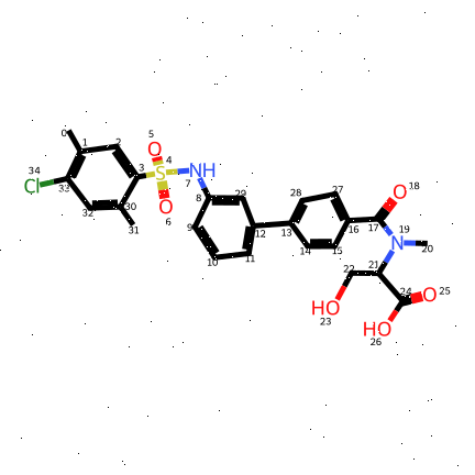 Cc1cc(S(=O)(=O)Nc2cccc(-c3ccc(C(=O)N(C)C(CO)C(=O)O)cc3)c2)c(C)cc1Cl